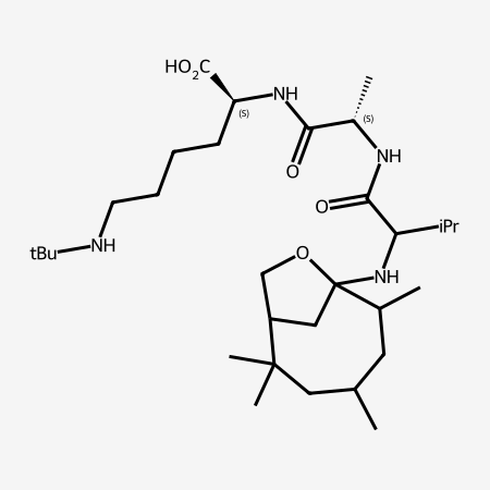 CC1CC(C)C2(NC(C(=O)N[C@@H](C)C(=O)N[C@@H](CCCCNC(C)(C)C)C(=O)O)C(C)C)CC(CO2)C(C)(C)C1